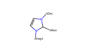 CCCCCCCCCCN1C=CN(CCCCCCC)C1CCCCCCCCC